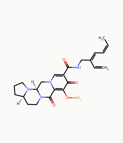 C=C/C(=C\C=C/C)CNC(=O)c1cn2c(c(OP)c1=O)C(=O)N1CC[C@H]3CCCN3[C@H]1C2